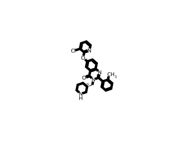 Cc1ccccc1-c1nc2ccc(Oc3ncccc3Cl)cc2c(=O)n1C[C@H]1CCCNC1